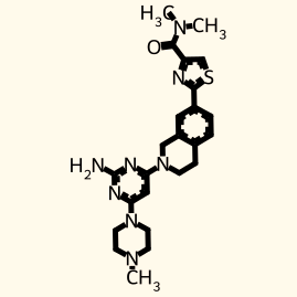 CN1CCN(c2cc(N3CCc4ccc(-c5nc(C(=O)N(C)C)cs5)cc4C3)nc(N)n2)CC1